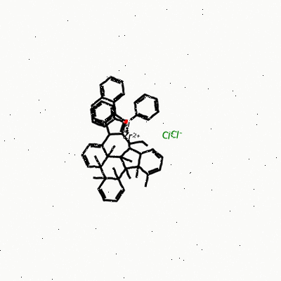 CCCC1=Cc2c(ccc3ccccc23)C1C1=CC=CC2(C)C3(C)C=CC=CC3(C)C3(C)C4(C)C(C)=CC=CC4[CH]([Zr+2][SiH](c4ccccc4)c4ccccc4)C3(C)C12C.[Cl-].[Cl-]